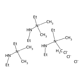 CCN[N+](C)(C)CC.CCN[N+](C)(C)CC.CCN[N+](C)(C)CC.[Cl-].[Cl-].[Cl-]